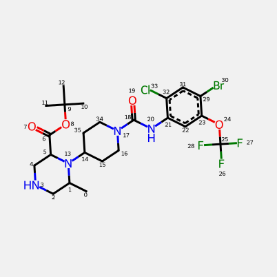 CC1CNCC(C(=O)OC(C)(C)C)N1C1CCN(C(=O)Nc2cc(OC(F)(F)F)c(Br)cc2Cl)CC1